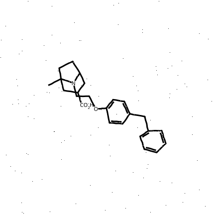 CC12CCC(CC(C(=O)O)C1)N2CCOc1ccc(Cc2ccccc2)cc1